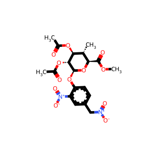 COC(=O)[C@H]1O[C@@H](Oc2ccc(C[N+](=O)[O-])cc2[N+](=O)[O-])[C@H](OC(C)=O)[C@@H](OC(C)=O)[C@@H]1C